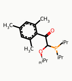 [CH2][C@H](C)OC(C(=O)c1c(C)cc(C)cc1C)P(C(C)C)C(C)C